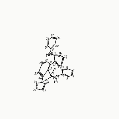 CS(C)(Nc1ccccc1)c1c(-c2ccccc2Nc2ccccc2)cccc1C1C=CC=C1